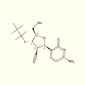 CC(C)(C)[Si](C)(C)O[C@H]1[C@H](C#N)[C@H](n2ccc(N)nc2=O)O[C@@H]1CO